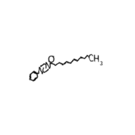 CCCCCCCCCCCC(=O)N1CCN(c2ccccc2)CC1